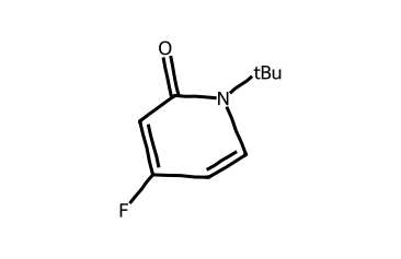 CC(C)(C)n1ccc(F)cc1=O